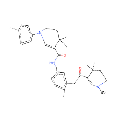 Cc1ccc(N2C=C(C(=O)Nc3ccc(C)c(CC(=O)C4=CN(C(C)(C)C)CCC4(C)C)c3)C(C)(C)CC2)cc1